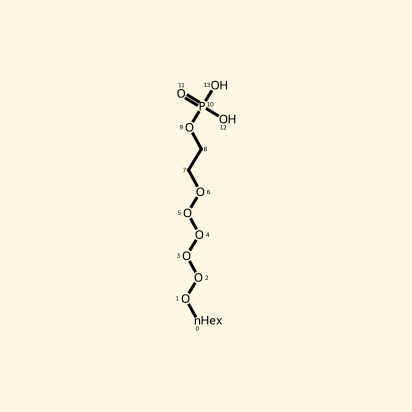 CCCCCCOOOOOOCCOP(=O)(O)O